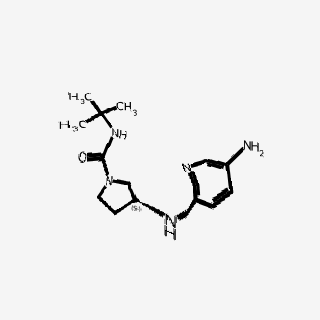 CC(C)(C)NC(=O)N1CC[C@H](Nc2ccc(N)cn2)C1